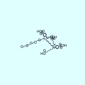 COCCOCCOCCOCCOCCC1(C)C(/C=C/C=C/C=C2/N(CCCCCC(=O)O)c3ccc(S(=O)(=O)O)cc3C2(C)CCCS(=O)(=O)O)=[N+](CCOC)c2ccc(S(=O)(=O)O)cc21